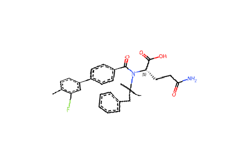 Cc1ccc(-c2ccc(C(=O)N([C@@H](CCC(N)=O)C(=O)O)C(C)(C)Cc3ccccc3)cc2)cc1F